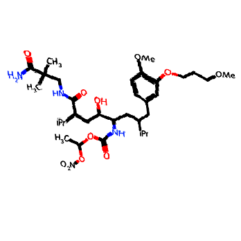 COCCCOc1cc(CC(CC(NC(=O)OC(C)O[N+](=O)[O-])C(O)CC(C(=O)NCC(C)(C)C(N)=O)C(C)C)C(C)C)ccc1OC